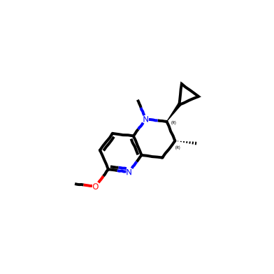 COc1ccc2c(n1)C[C@@H](C)[C@H](C1CC1)N2C